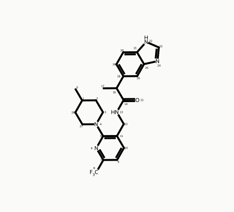 CC1CCN(c2nc(C(F)(F)F)ccc2CNC(=O)C(C)c2ccc3[nH]cnc3c2)CC1